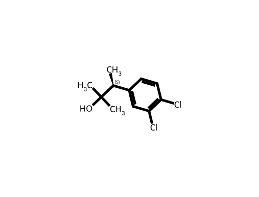 C[C@@H](c1ccc(Cl)c(Cl)c1)C(C)(C)O